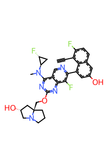 C#Cc1c(F)ccc2cc(O)cc(-c3ncc4c(N(C)[C@@H]5C[C@H]5F)nc(OC[C@@]56CCCN5C[C@H](O)C6)nc4c3F)c12